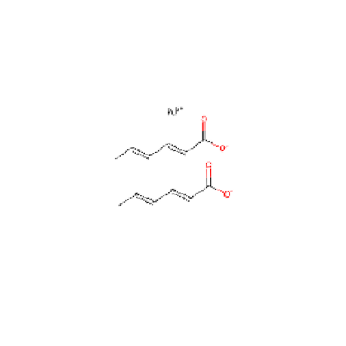 CC=CC=CC(=O)[O-].CC=CC=CC(=O)[O-].[Pd+2]